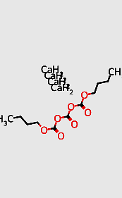 CCCCOC(=O)OC(=O)OC(=O)OCCCC.[CaH2].[CaH2].[CaH2].[CaH2]